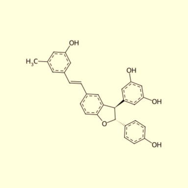 Cc1cc(O)cc(/C=C/c2ccc3c(c2)[C@@H](c2cc(O)cc(O)c2)[C@H](c2ccc(O)cc2)O3)c1